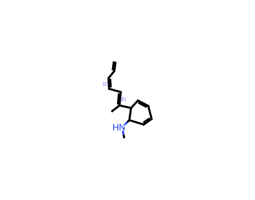 C=C/C=C\C=C(/C)C1C=CC=CC1NC